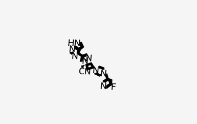 N#CC[C@]1(n2cc(-c3ncnc4[nH]ccc34)cn2)C[C@H](N2CCN(Cc3cncc(F)c3)CC2)C1